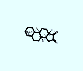 C[C@]12CCCC=C1CC[C@@H]1[C@@H]2CC[C@]2(C)C(=O)C(=O)C[C@@H]12